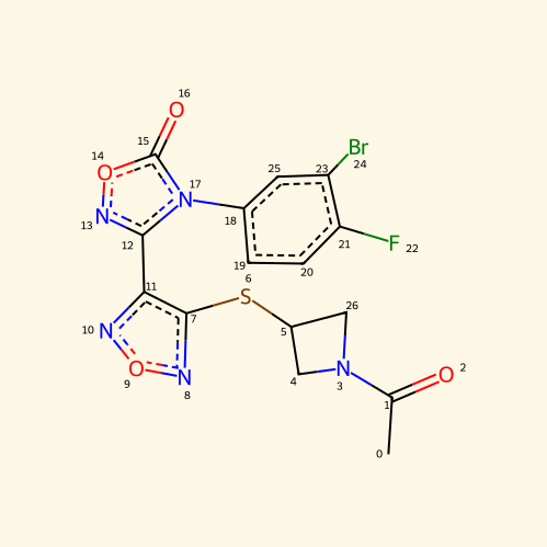 CC(=O)N1CC(Sc2nonc2-c2noc(=O)n2-c2ccc(F)c(Br)c2)C1